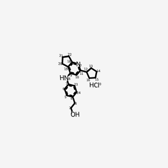 Cl.OCCc1ccc(Nc2cc(C3CCCC3)nc3c2CCC3)cc1